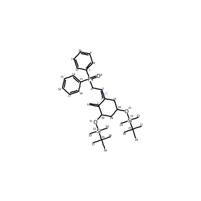 C=C1/C(=C\CP(=O)(c2ccccc2)c2ccccc2)CC(O[Si](C)(C)C(C)(C)C)CC1O[Si](C)(C)C(C)(C)C